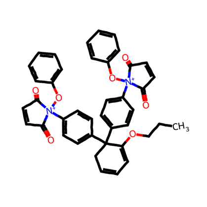 CCCOC1=CC=CCC1(c1ccc([N+]2(Oc3ccccc3)C(=O)C=CC2=O)cc1)c1ccc([N+]2(Oc3ccccc3)C(=O)C=CC2=O)cc1